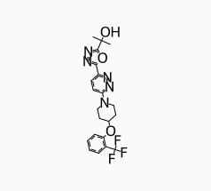 CC(C)(O)c1nnc(-c2ccc(N3CCC(Oc4ccccc4C(F)(F)F)CC3)nn2)o1